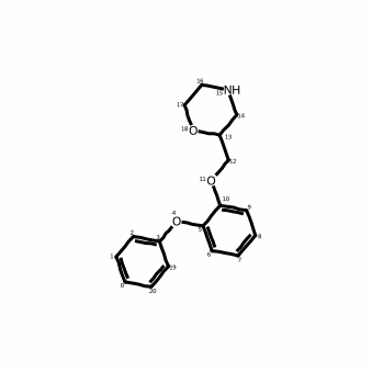 c1ccc(Oc2ccccc2OCC2CNCCO2)cc1